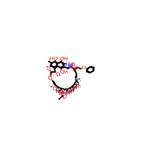 CO[C@H]1/C=C/O[C@@]2(C)Oc3c(C)c(O)c4c(O)c(c(/C=N/OCCOc5ccccc5)c(O)c4c3C2=O)NC(=O)/C(C)=C\C=C\[C@H](C)[C@H](O)[C@@H](C)[C@@H](O)[C@@H](C)[C@H](OC(C)=O)[C@@H]1C